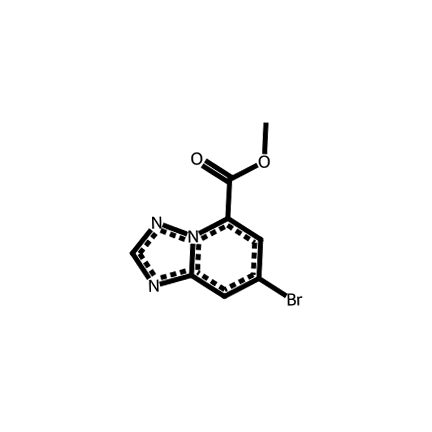 COC(=O)c1cc(Br)cc2ncnn12